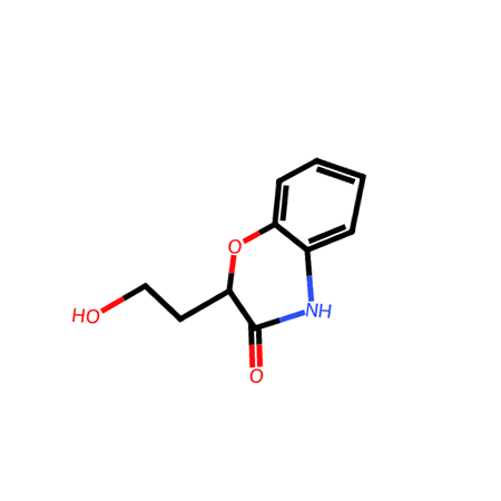 O=C1Nc2ccccc2OC1CCO